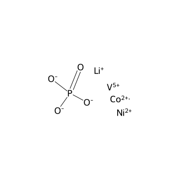 O=P([O-])([O-])[O-].[Co+2].[Li+].[Ni+2].[V+5]